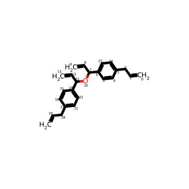 C=CCc1ccc(C(C=C)OC(C=C)c2ccc(CC=C)cc2)cc1